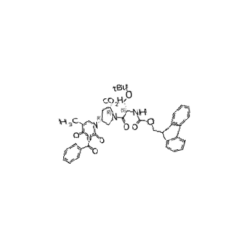 Cc1cn([C@@H]2C[C@H](C(=O)O)N(C(=O)[C@H](COC(C)(C)C)NC(=O)OCC3c4ccccc4-c4ccccc43)C2)c(=O)n(C(=O)c2ccccc2)c1=O